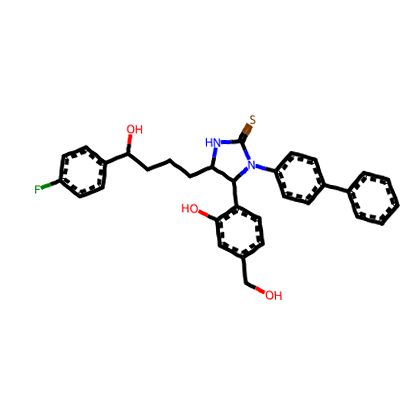 OCc1ccc(C2C(CCCC(O)c3ccc(F)cc3)NC(=S)N2c2ccc(-c3ccccc3)cc2)c(O)c1